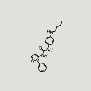 CCCCNc1ccc(NC(=O)Nc2ccnn2-c2ccccc2)cc1